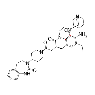 CCc1cc(C[C@@H](CC(=O)N2CCC(N3CCc4ccccc4NC3=O)CC2)C(=O)N2CCN(C3CN4CCC3CC4)CC2)cc(Cl)c1N